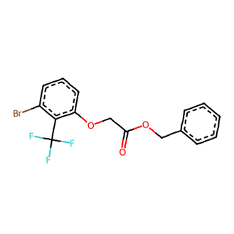 O=C(COc1cccc(Br)c1C(F)(F)F)OCc1ccccc1